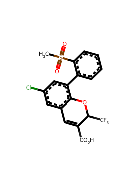 CS(=O)(=O)c1ccccc1-c1cc(Cl)cc2c1OC(C(F)(F)F)C(C(=O)O)=C2